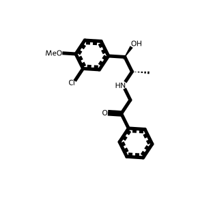 COc1ccc([C@@H](O)[C@H](C)NCC(=O)c2ccccc2)cc1Cl